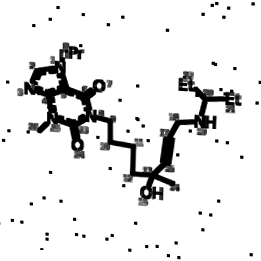 CCCn1cnc2c1c(=O)n(CCCCC(C)(O)C#CCNC(CC)CC)c(=O)n2C